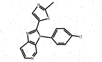 Cc1ncc(-c2nc3ccncc3n2-c2ccc(Cl)cc2)s1